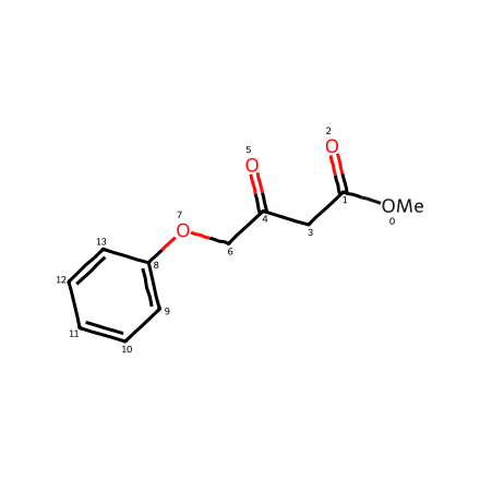 COC(=O)CC(=O)COc1ccccc1